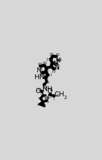 C=CC(=O)N1CC2(CC2)C[C@H]1C(=O)NCCc1cc2c(-c3cnn4ncccc34)ccnc2[nH]1